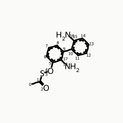 CC(=O)SOc1cccc(-c2ccccc2N)c1N